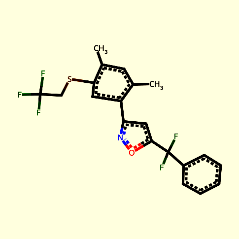 Cc1cc(C)c(-c2cc(C(F)(F)c3ccccc3)on2)cc1SCC(F)(F)F